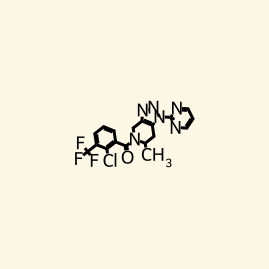 CC1Cc2c(nnn2-c2ncccn2)CN1C(=O)c1cccc(C(F)(F)F)c1Cl